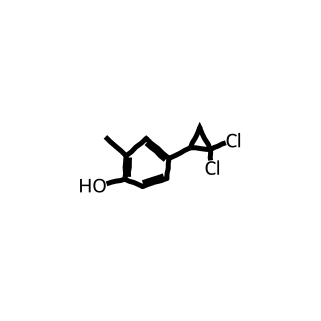 Cc1cc(C2CC2(Cl)Cl)ccc1O